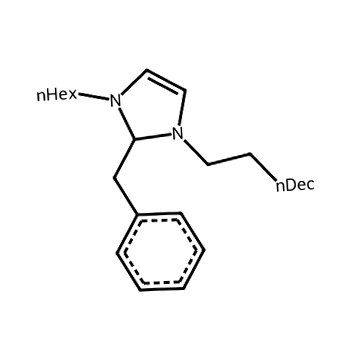 CCCCCCCCCCCCN1C=CN(CCCCCC)C1Cc1ccccc1